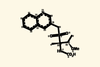 CO[C@@H](C)[C@](C)(NC(=O)O)S(=O)(=O)Cc1cnc2ccccc2c1